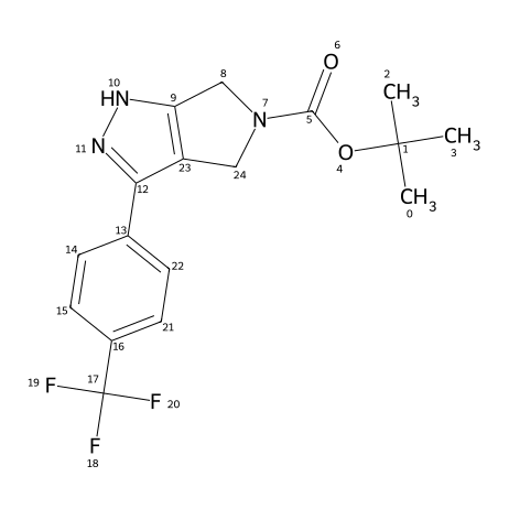 CC(C)(C)OC(=O)N1Cc2[nH]nc(-c3ccc(C(F)(F)F)cc3)c2C1